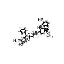 C[C@H](OC(=O)[C@@H](OC(O)C[C@H](O)C(=O)OC1=CC[C@@]2(O)[C@H]3Cc4ccc(O)c5c4C2(CCN3C)[C@H]1O5)c1ccccc1)C(=O)O